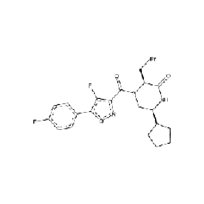 CC(C)C[C@H]1C(=O)N[C@@H](C2CCCC2)CN1C(=O)c1noc(-c2ccc(F)cc2)c1F